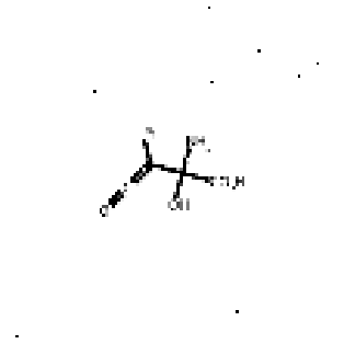 CC(C)C(=C=O)C(N)(O)C(=O)O